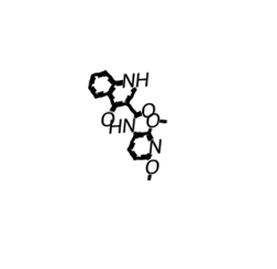 COc1ccc(NC(=O)c2c[nH]c3ccccc3c2=O)c(OC)n1